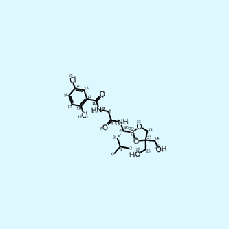 CC(C)C[C@H](NC(=O)CNC(=O)c1cc(Cl)ccc1Cl)B1OCC(CO)(CO)O1